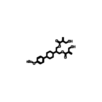 C=C(CO)C(=O)OCC(COC(=O)C(=C)CO)C1CCC(c2ccc(OCCCC)cc2)CC1